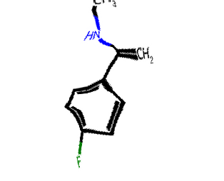 C=C(NC)c1ccc(F)cc1